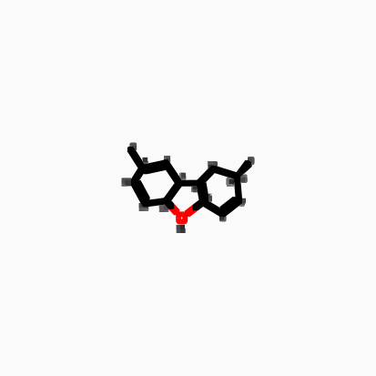 CC1=CC2C3=C(C=C[C@H](C)C3)OC2C=C1